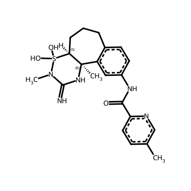 Cc1ccc(C(=O)Nc2ccc3c(c2)[C@@]2(C)NC(=N)N(C)S(O)(O)[C@H]2CCC3)nc1